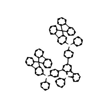 c1ccc(N(c2ccc(-c3cc(-c4ccc(N(c5ccccc5)c5ccc6c(c5)C5(c7ccccc7-c7ccccc75)c5ccccc5-6)cc4)c4c(c3)c3ccccc3n4-c3ccccc3)cc2)c2ccc3c(c2)C2(c4ccccc4-c4ccccc42)c2ccccc2-3)cc1